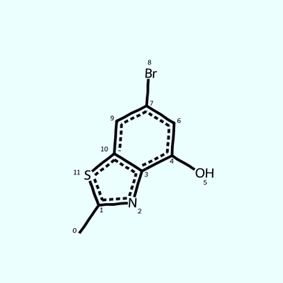 Cc1nc2c(O)cc(Br)cc2s1